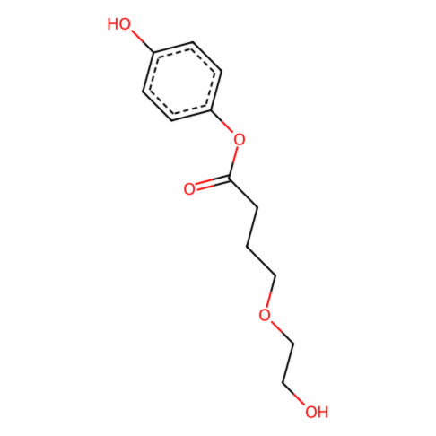 O=C(CCCOCCO)Oc1ccc(O)cc1